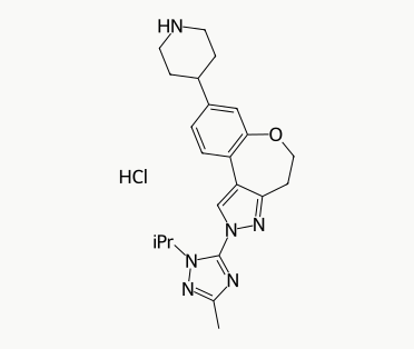 Cc1nc(-n2cc3c(n2)CCOc2cc(C4CCNCC4)ccc2-3)n(C(C)C)n1.Cl